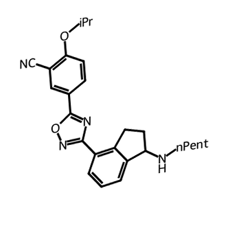 CCCCCNC1CCc2c(-c3noc(-c4ccc(OC(C)C)c(C#N)c4)n3)cccc21